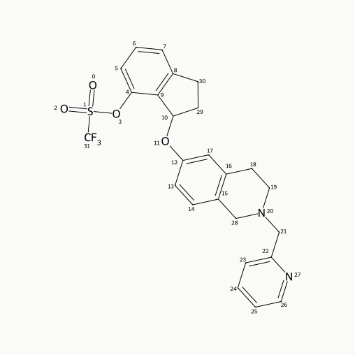 O=S(=O)(Oc1cccc2c1C(Oc1ccc3c(c1)CCN(Cc1ccccn1)C3)CC2)C(F)(F)F